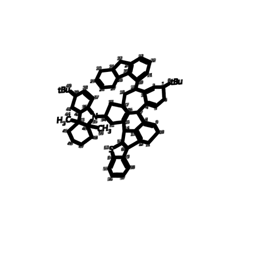 CC(C)(C)C1C=C2C(=CC1)C1C3=CCCC4=C3C(C3=C1C(CC2c1cccc2c1C1CC=CCC1C2)CC(N1C2C=CC(C(C)(C)C)CC2C2(C)CCCCC12C)C3)C1Sc2ccccc2C41